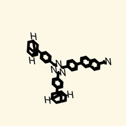 N#Cc1ccc2cc(-c3ccc(-c4nc(-c5ccc(C67CC8C[C@H](C6)C[C@@H](C8)C7)cc5)nc(-c5ccc(C67CC8C[C@H](C6)C[C@@H](C8)C7)cc5)n4)cc3)ccc2c1